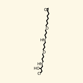 OC(CCl)CNCCCCOCCCCNCCCCOCCCCCCC1CO1